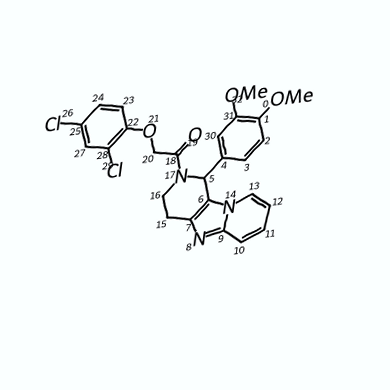 COc1ccc(C2c3c(nc4ccccn34)CCN2C(=O)COc2ccc(Cl)cc2Cl)cc1OC